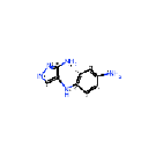 Nc1ccc(Nc2c[nH]nc2N)cc1